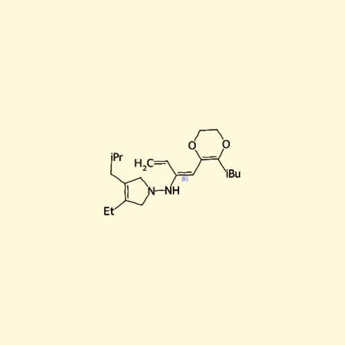 C=C/C(=C\C1=C(C(C)CC)OCCO1)NN1CC(CC)=C(CC(C)C)C1